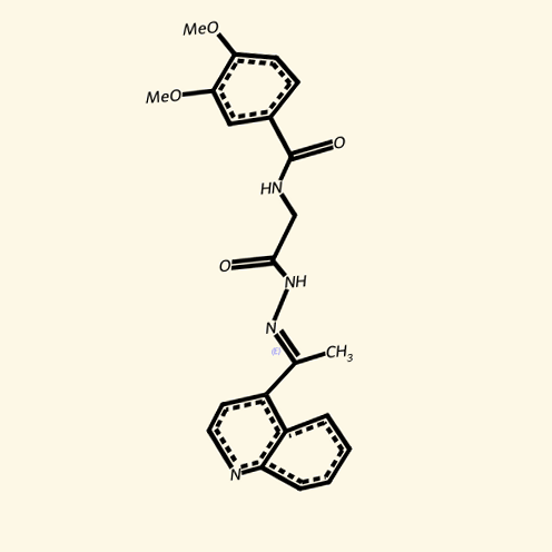 COc1ccc(C(=O)NCC(=O)N/N=C(\C)c2ccnc3ccccc23)cc1OC